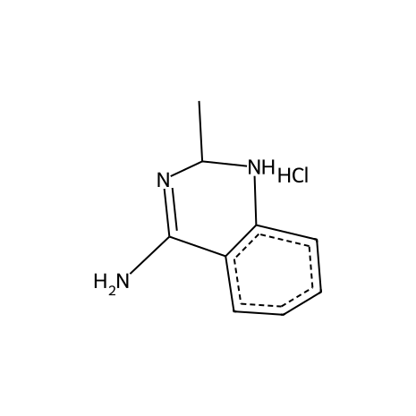 CC1N=C(N)c2ccccc2N1.Cl